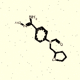 NC(=NO)c1ccc(N(C=O)CC2CCCO2)cc1